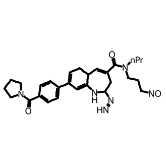 CCCN(CCCN=O)C(=O)C1=CC2CC=C(c3ccc(C(=O)N4CCCC4)cc3)C=C2NC(N=N)C1